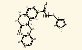 O=C(NCc1ccoc1)c1ccc2c(c1)N(Cc1ccccc1)C(=O)CS2